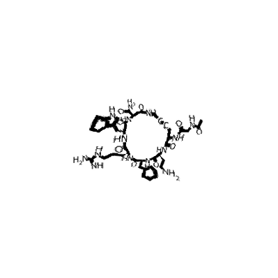 CC(=O)NCC(=O)NC1CCCCNC(=O)CC(C(N)=O)NC(=O)[C@H](Cc2c[nH]c3ccccc23)NC(=O)[C@H](CCCNC(=N)N)NC(=O)C(Cc2ccccc2)NC(=O)[C@H](CCN)NC1=O